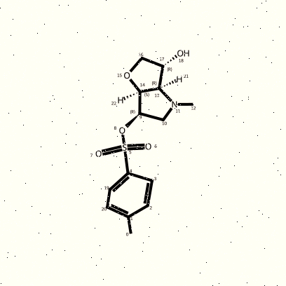 Cc1ccc(S(=O)(=O)O[C@@H]2CN(C)[C@H]3[C@@H]2OC[C@@H]3O)cc1